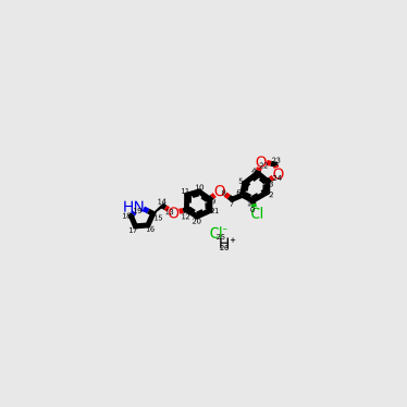 Clc1cc2c(cc1COc1ccc(OC[C@H]3CCCN3)cc1)OCO2.[Cl-].[H+]